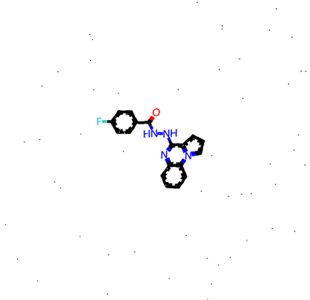 O=C(NNc1nc2ccccc2n2cccc12)c1ccc(F)cc1